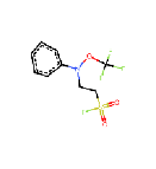 O=S(=O)(F)CCN(OC(F)(F)F)c1ccccc1